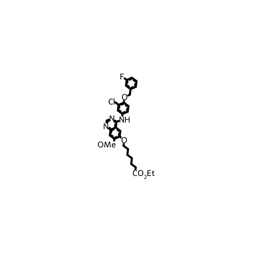 CCOC(=O)CCCCCCOc1cc2c(Nc3ccc(OCc4cccc(F)c4)c(Cl)c3)ncnc2cc1OC